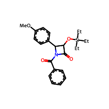 CC[Si](CC)(CC)OC1C(=O)N(C(=O)c2ccccc2)C1c1ccc(OC)cc1